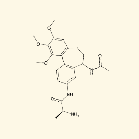 COc1cc2c(c(OC)c1OC)-c1ccc(NC(=O)[C@H](C)N)cc1C(NC(C)=O)CC2